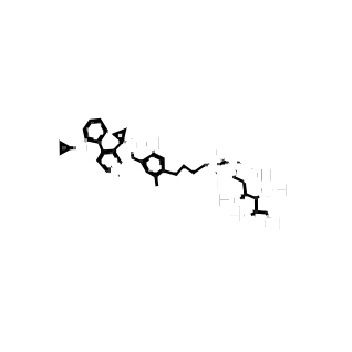 Cc1cc(COC2(c3cnccc3-c3ccccc3OC3CC3)CC2)c(Cl)cc1CCCCNC(=O)N(C)CC(O)C(O)C(O)C(O)CO